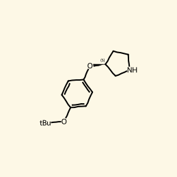 CC(C)(C)Oc1ccc(O[C@H]2CCNC2)cc1